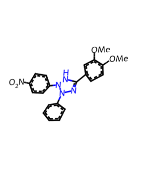 COc1ccc(C2=NN(c3ccccc3)N(c3ccc([N+](=O)[O-])cc3)N2)cc1OC